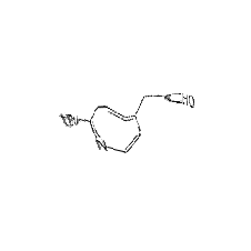 CC(C)(C)c1cc(CC=O)ccn1